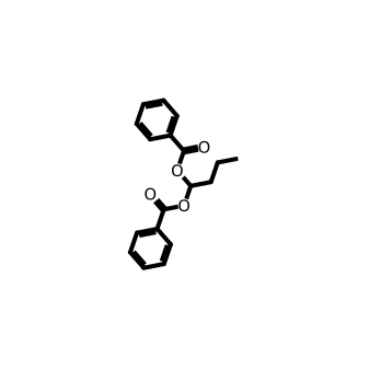 CCCC(OC(=O)c1ccccc1)OC(=O)c1ccccc1